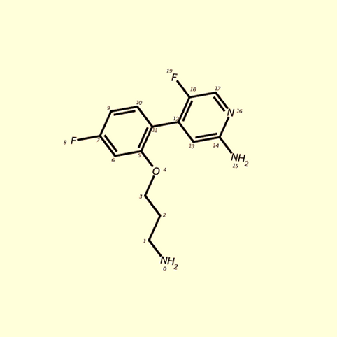 NCCCOc1cc(F)ccc1-c1cc(N)ncc1F